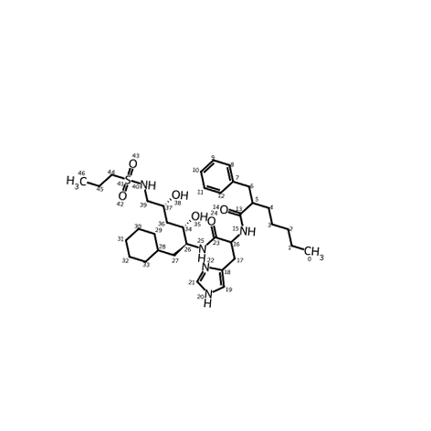 CCCCCC(Cc1ccccc1)C(=O)NC(Cc1c[nH]cn1)C(=O)N[C@@H](CC1CCCCC1)[C@@H](O)C[C@@H](O)CNS(=O)(=O)CCC